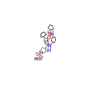 CC(C)(C)OC(=O)N1CCC(C(=O)Nc2cccc(N(Cc3ccccc3)S(=O)(=O)c3ccccc3Cl)c2)CC1